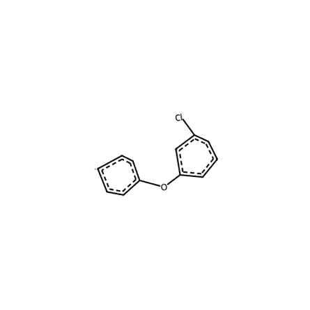 Clc1cccc(Oc2cc[c]cc2)c1